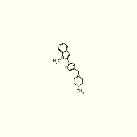 CN1CCN(Cc2cnc(-c3cc4ccccc4n3C)s2)CC1